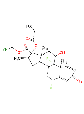 CCC(=O)O[C@@]1(C(=O)OCCl)[C@H](C)CC2C3C[C@@H](F)C4=CC(=O)C=CC4(C)[C@]3(F)C(O)CC21C